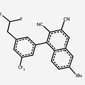 CC(C)(C)c1ccc2c(-c3cc(CC(F)F)cc(C(F)(F)F)c3)c(C#N)c(C#N)cc2c1